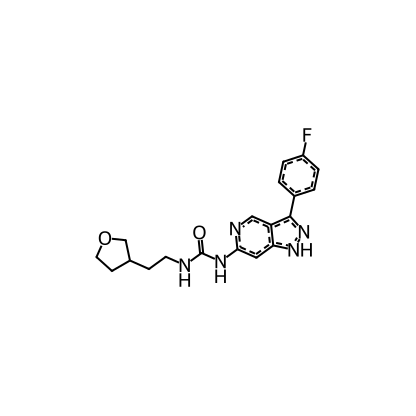 O=C(NCCC1CCOC1)Nc1cc2[nH]nc(-c3ccc(F)cc3)c2cn1